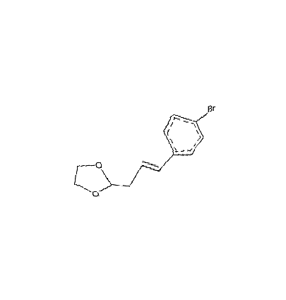 Brc1ccc(C=CC[C]2OCCO2)cc1